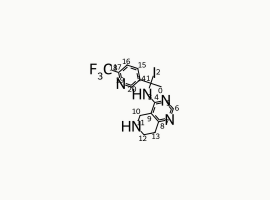 CC(I)(Nc1ncnc2c1CNCC2)c1ccc(C(F)(F)F)nc1